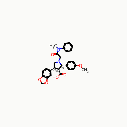 COc1ccc([C@@H]2[C@@H](C(=O)O)[C@@H](c3ccc4c(c3)OCO4)CN2CC(=O)N(C)c2ccccc2)cc1